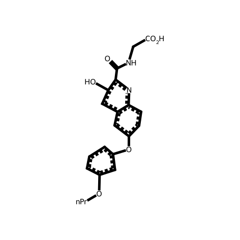 CCCOc1cccc(Oc2ccc3nc(C(=O)NCC(=O)O)c(O)cc3c2)c1